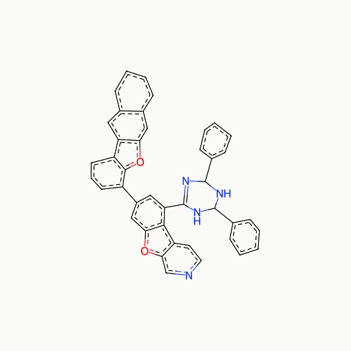 c1ccc(C2N=C(c3cc(-c4cccc5c4oc4cc6ccccc6cc45)cc4oc5cnccc5c34)NC(c3ccccc3)N2)cc1